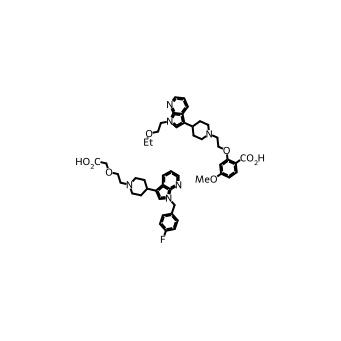 CCOCCn1cc(C2CCN(CCOc3cc(OC)ccc3C(=O)O)CC2)c2cccnc21.O=C(O)COCCN1CCC(c2cn(Cc3ccc(F)cc3)c3ncccc23)CC1